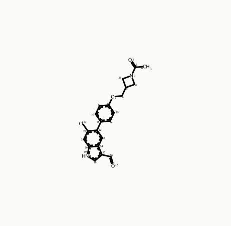 CC(=O)N1CC(COc2ccc(-c3cc4c(C=O)c[nH]c4cc3Cl)cc2)C1